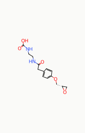 O=C(O)NCCNC(=O)Cc1ccc(OC[C@@H]2CO2)cc1